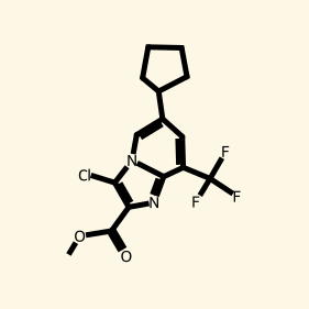 COC(=O)c1nc2c(C(F)(F)F)cc(C3CCCC3)cn2c1Cl